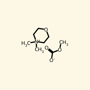 COC(=O)[O-].C[N+]1(C)CCOCC1